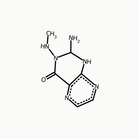 CNN1C(=O)c2nccnc2NC1N